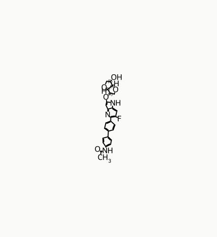 CC(=O)Nc1ccc(-c2ccc(-c3nc4cc(O[C@@H]5CO[C@H]6[C@@H]5OC[C@H]6O)[nH]c4cc3F)cc2)cc1